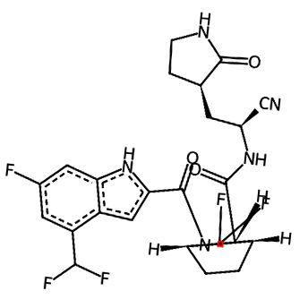 N#C[C@H](C[C@H]1CCNC1=O)NC(=O)[C@@H]1[C@@H]2CC[C@@H](CC2(F)F)N1C(=O)c1cc2c(C(F)F)cc(F)cc2[nH]1